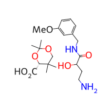 CC1(C)OCC(C)(C)[C@H](C(=O)O)O1.COc1cccc(CNC(=O)C(O)CCN)c1